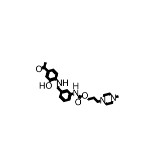 CC(=O)c1ccc(NCc2cccc(NC(=O)OCCCN3CCN(C)CC3)c2)c(O)c1